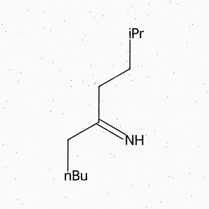 CCCCCC(=N)CCC(C)C